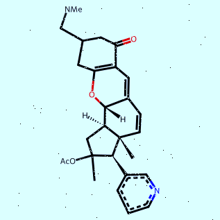 CNCC1CC(=O)C2=C(C1)O[C@@H]1C(=C2)C=C[C@@]2(C)[C@H]1CC(C)(OC(C)=O)[C@@H]2c1cccnc1